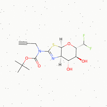 C#CCN(C(=O)OC(C)(C)C)C1=N[C@@H]2[C@@H](O)[C@H](O)[C@@H](C(F)F)O[C@@H]2S1